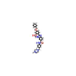 CN1CCN(Cc2ccc(NC(=O)c3ccc4nc(-c5ccc(OCc6ccccc6)cc5O)[nH]c4c3)cc2)CC1